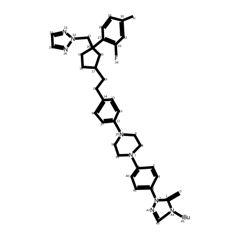 C=C1N(c2ccc(N3CCN(c4ccc(CCC5CCC(Cn6nccn6)(c6ccc(C)cc6F)C5)cc4)CC3)cc2)N=CN1C(C)CC